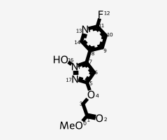 COC(=O)COc1cc(-c2ccc(F)nc2)n(O)n1